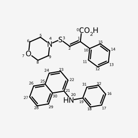 O=C(O)/C(=C\SN1CCOCC1)c1ccccc1.c1ccc(Nc2cccc3ccccc23)cc1